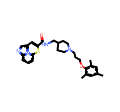 Cc1cc(C)c(OCCCN2CCC(CNC(=O)C3=Cc4cnc5cccc(n45)S3)CC2)c(C)c1